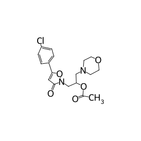 CC(=O)OC(CN1CCOCC1)Cn1oc(-c2ccc(Cl)cc2)cc1=O